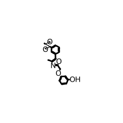 Cc1nc(COc2cccc(O)c2)oc1-c1cccc(S(C)(=O)=O)c1